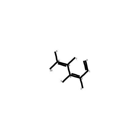 C=[C]C(C)=C(C)C(C)=C(C)C